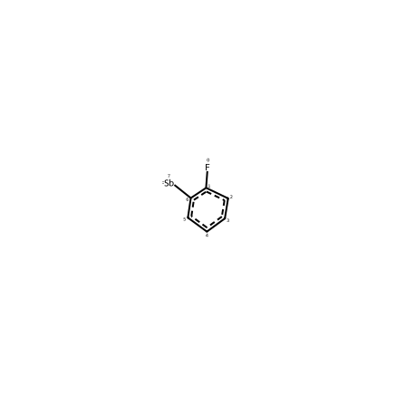 Fc1cccc[c]1[Sb]